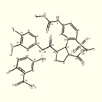 CCS(=O)(=O)c1ccc(NC(=O)OC)cc1C1C(C(=O)O)CCN1C(=O)[C@H](Nc1ccc(F)c(C(N)=O)c1)c1ccc(F)c(OC)c1